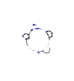 O=C1NCCCc2cc(ccn2)-c2ncnc(n2)Nc2cccc(c2)CN2CCCC1C2